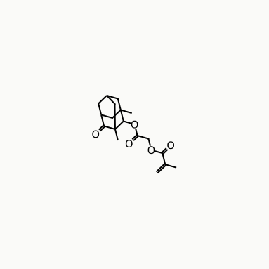 C=C(C)C(=O)OCC(=O)OC1C2(C)CC3CC(C2)C(=O)C1(C)C3